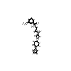 O=C(CNC(=O)c1cccc(C(F)(F)F)c1)NC1CN(C2CCC(n3cccn3)CC2)C1